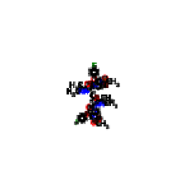 CN[C@@H](C)C(=O)N[C@@H](CCCC[C@H](NC(=O)[C@H](C)NC)C(=O)N1CC[C@@H]2[C@H]1[C@@H](Oc1ccc(F)cc1)CN2S(C)(=O)=O)C(=O)N1CC[C@@H]2[C@H]1[C@@H](Oc1ccc(F)cc1)CN2S(C)(=O)=O